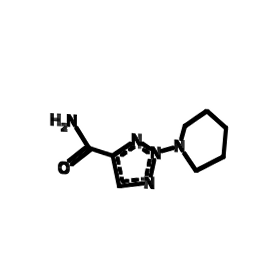 NC(=O)c1cnn(N2CCCCC2)n1